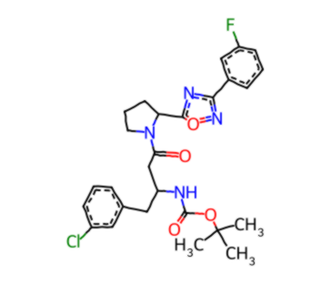 CC(C)(C)OC(=O)NC(CC(=O)N1CCCC1c1nc(-c2cccc(F)c2)no1)Cc1cccc(Cl)c1